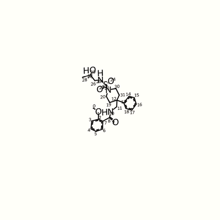 COc1ccccc1C(=O)NCC1(c2ccccc2)CCN(S(=O)(=O)NC[C@@H](C)O)CC1